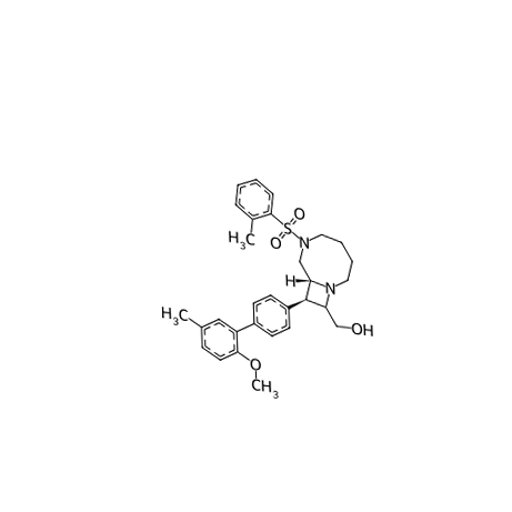 COc1ccc(C)cc1-c1ccc([C@@H]2C(CO)N3CCCCN(S(=O)(=O)c4ccccc4C)C[C@@H]23)cc1